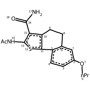 CCCOc1ccc2c(c1)CCc1c-2sc(NC(C)=O)c1C(N)=O